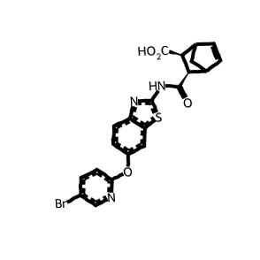 O=C(Nc1nc2ccc(Oc3ccc(Br)cn3)cc2s1)[C@@H]1C2C=CC(C2)[C@@H]1C(=O)O